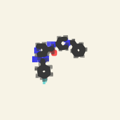 O=C(NC1CCN(Cc2ccccc2)CC1)c1ccnc2[nH]c(-c3ccc(F)cc3)nc12